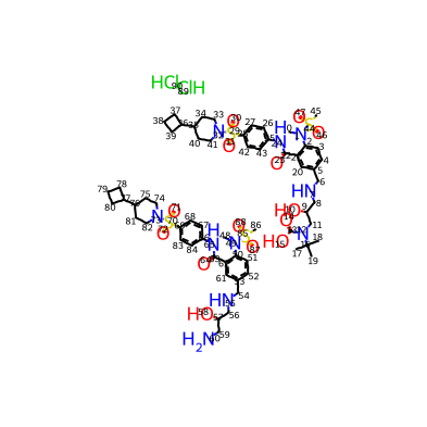 CN(c1ccc(CNCC(O)CN(C(=O)O)C(C)(C)C)cc1C(=O)Nc1ccc(S(=O)(=O)N2CCC(C3CCC3)CC2)cc1)S(C)(=O)=O.CN(c1ccc(CNCC(O)CN)cc1C(=O)Nc1ccc(S(=O)(=O)N2CCC(C3CCC3)CC2)cc1)S(C)(=O)=O.Cl.Cl